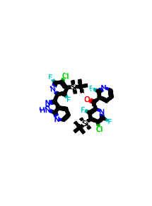 CC(C)(C)[Si](C)(C)c1c(F)c(-c2n[nH]c3ncccc23)nc(F)c1Cl.CC(C)(C)[Si](C)(C)c1c(F)c(C(=O)c2cccnc2F)nc(F)c1Cl